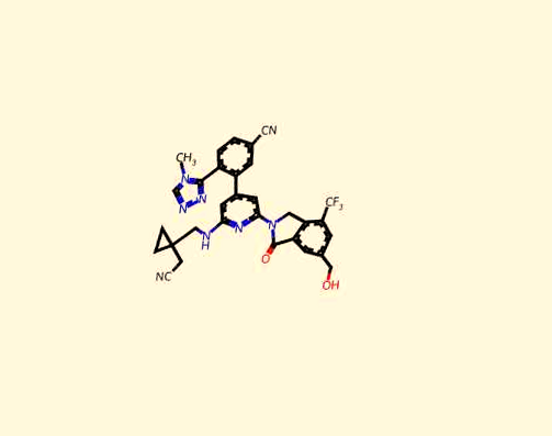 Cn1cnnc1-c1ccc(C#N)cc1-c1cc(NCC2(CC#N)CC2)nc(N2Cc3c(cc(CO)cc3C(F)(F)F)C2=O)c1